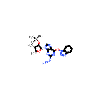 CC[C@H]1O[C@@H](n2cnc3c(On4nnc5ccccc54)nc(N=[N+]=[N-])nc32)C(O[Si](C)(C)C(C)(C)C)[C@H]1C